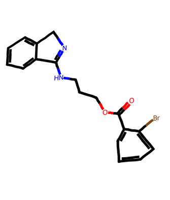 O=C(OCCCNC1=NCc2ccccc21)c1ccccc1Br